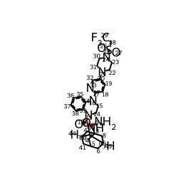 NC(=O)C12CC3C[C@H](C1)C(NC(=O)N1CCN(c4ccc(N5CCN(S(=O)(=O)CC(F)(F)F)CC5)cn4)c4ccccc41)[C@@H](C3)C2